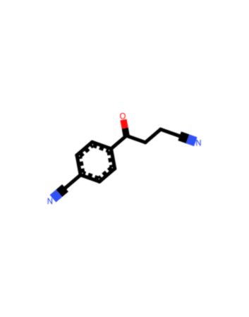 N#CCCC(=O)c1ccc(C#N)cc1